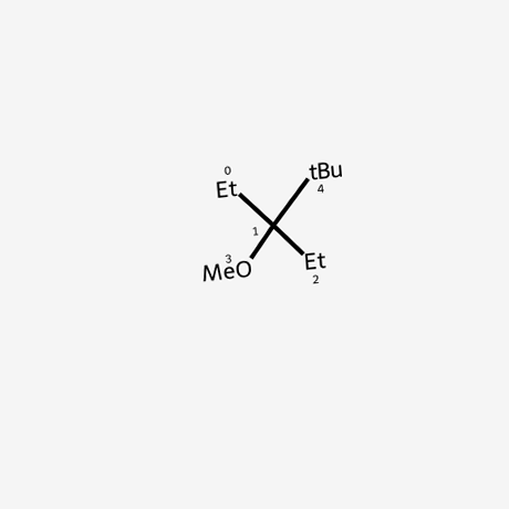 CCC(CC)(OC)C(C)(C)C